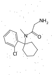 CN(C(=O)CN)C1(c2ccccc2Cl)CCCCC1